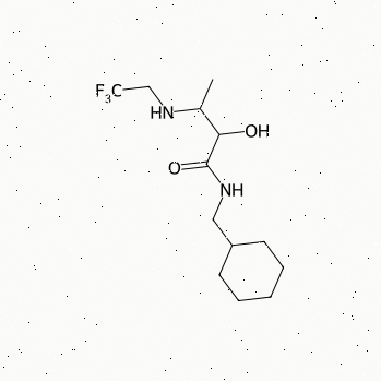 CC(NCC(F)(F)F)C(O)C(=O)NCC1CCCCC1